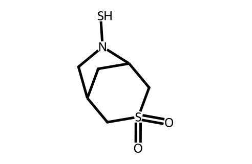 O=S1(=O)CC2CC(C1)N(S)C2